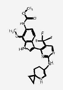 COC(=O)Nc1ccc2c(-c3nc(NC4CCC5(CC5)NC4)ncc3C(F)(F)F)c[nH]c2c1OC